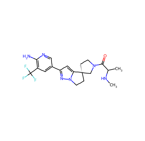 CNC(C)C(=O)N1CC[C@@]2(CCn3nc(-c4cnc(N)c(C(F)(F)F)c4)cc32)C1